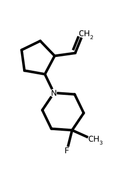 C=CC1CCCC1N1CCC(C)(F)CC1